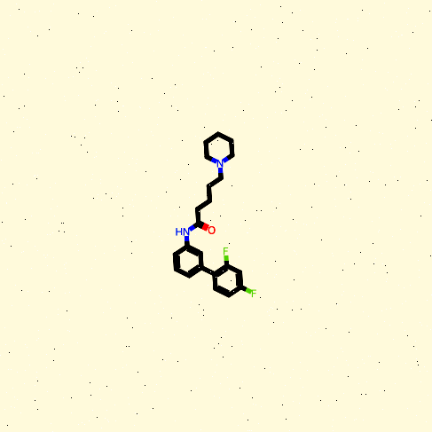 O=C(CCCCN1CCCCC1)Nc1cccc(-c2ccc(F)cc2F)c1